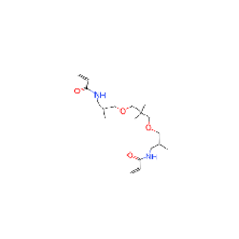 C=CC(=O)NCC(C)COCC(C)(C)COCC(C)CNC(=O)C=C